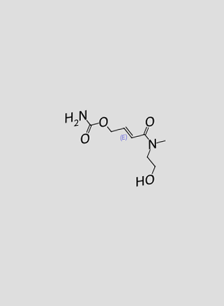 CN(CCO)C(=O)/C=C/COC(N)=O